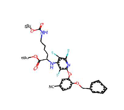 CC(C)(C)OC(=O)NCCCCC(Nc1c(F)c(F)nc(Oc2cc(C#N)ccc2OCc2ccccc2)c1F)C(=O)OC(C)(C)C